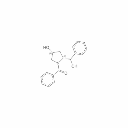 O=C(c1ccccc1)N1C[C@H](O)C[C@@H]1C(O)c1ccccc1